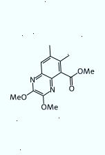 COC(=O)c1c(C)c(C)cc2nc(OC)c(OC)nc12